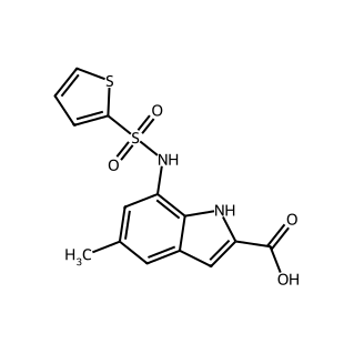 Cc1cc(NS(=O)(=O)c2cccs2)c2[nH]c(C(=O)O)cc2c1